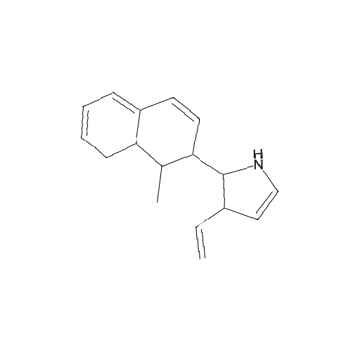 C=CC1C=CNC1C1C=CC2=CC=CCC2C1C